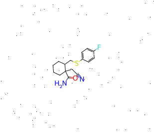 N#CCC1(C(N)=O)CCCCC1CSc1ccc(F)cc1